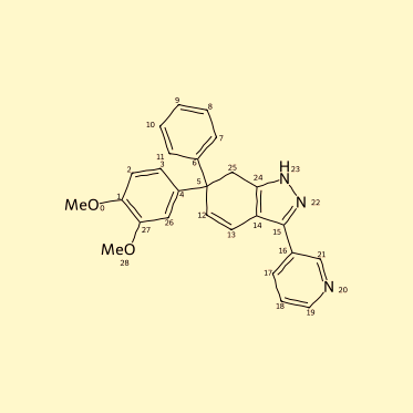 COc1ccc(C2(c3ccccc3)C=Cc3c(-c4cccnc4)n[nH]c3C2)cc1OC